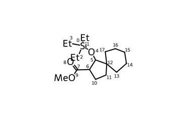 CC[Si](CC)(CC)OC1C(C(=O)OC)CCC12CCCCC2